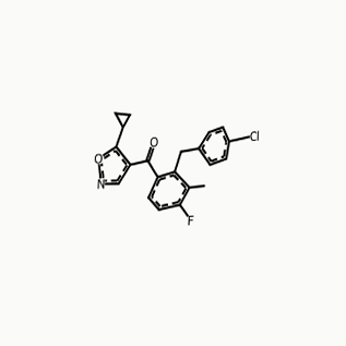 Cc1c(F)ccc(C(=O)c2cnoc2C2CC2)c1Cc1ccc(Cl)cc1